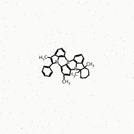 Cc1cc2c3c(c1)-n1c(-c4ccccc4)c(C)c4cccc(c41)B3c1cccc3c1N2C1(C)CCCCC31C